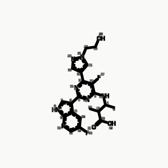 CC(Nc1nc(-c2c[nH]c3ncc(F)cc23)nc(-c2cnn(CCO)c2)c1F)C(C)C(=O)O